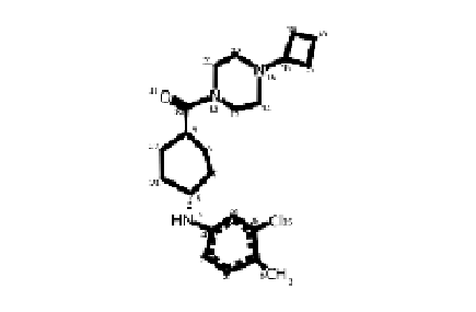 Cc1ccc(N[C@H]2CC[C@H](C(=O)N3CCN(C4CCC4)CC3)CC2)cc1Cl